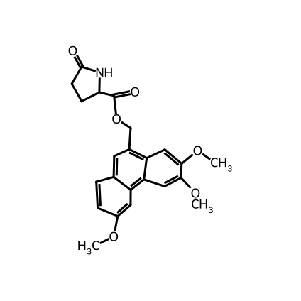 COc1ccc2cc(COC(=O)C3CCC(=O)N3)c3cc(OC)c(OC)cc3c2c1